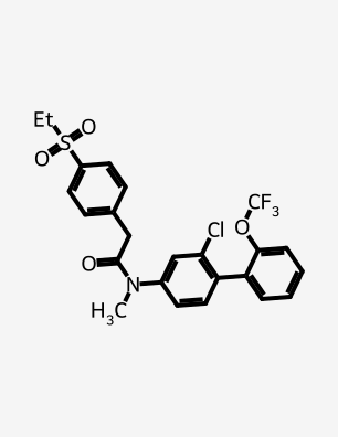 CCS(=O)(=O)c1ccc(CC(=O)N(C)c2ccc(-c3ccccc3OC(F)(F)F)c(Cl)c2)cc1